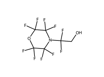 OCC(F)(F)N1C(F)(F)C(F)(F)OC(F)(F)C1(F)F